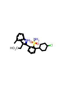 Cc1cccc2[nH]c(-c3cccc(C4CCC(Cl)CC4)c3S(N)(=O)=O)c(CC(=O)O)c12